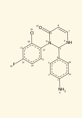 Nc1ccc(C2NC=CC(=O)N2c2ccc(F)cc2Cl)cc1